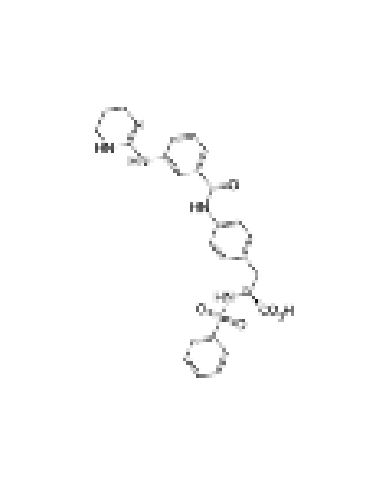 O=C(Nc1ccc(C[C@H](NS(=O)(=O)c2ccccc2)C(=O)O)cc1)c1cccc(NC2=NCCCN2)c1